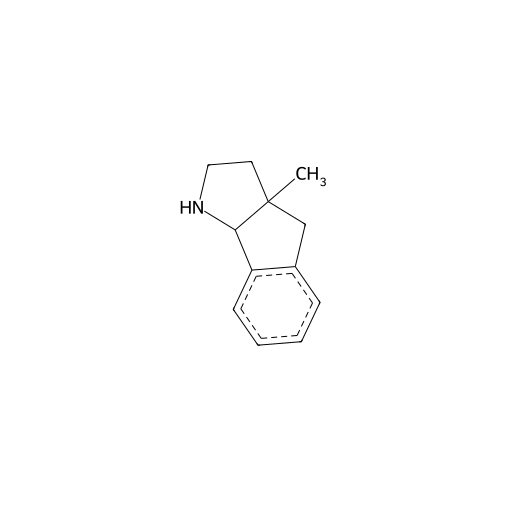 CC12CCNC1c1ccccc1C2